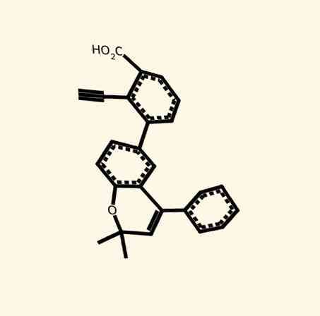 C#Cc1c(C(=O)O)cccc1-c1ccc2c(c1)C(c1ccccc1)=CC(C)(C)O2